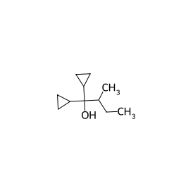 CCC(C)C(O)(C1CC1)C1CC1